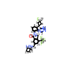 Cn1cnnc1[C@]1(c2cccc(N3Cc4c(cc(CNC5(C)CCC5)cc4C(F)(F)F)C3=O)c2)C[C@](C)(F)C1